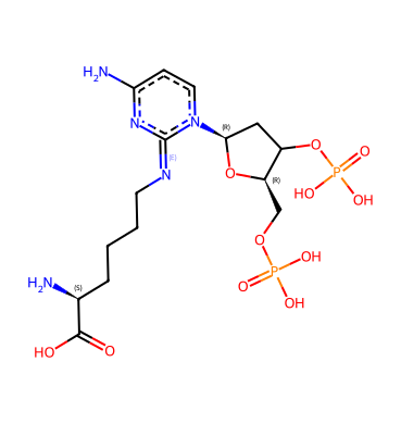 Nc1ccn([C@H]2CC(OP(=O)(O)O)[C@@H](COP(=O)(O)O)O2)/c(=N/CCCC[C@H](N)C(=O)O)n1